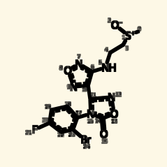 C[S+]([O-])CCNc1nonc1-c1noc(=O)n1-c1ccc(F)cc1Br